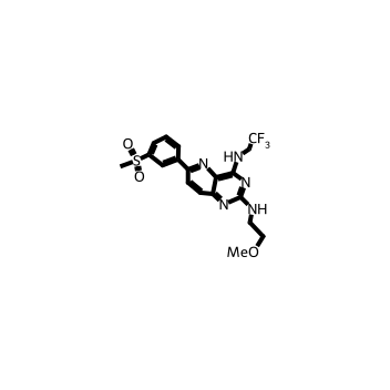 COCCNc1nc(NCC(F)(F)F)c2nc(-c3cccc(S(C)(=O)=O)c3)ccc2n1